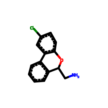 NCC1Oc2ccc(Cl)cc2-c2ccccc21